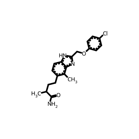 Cc1c(CCC(C)C(N)=O)ccc2[nH]c(COc3ccc(Cl)cc3)nc12